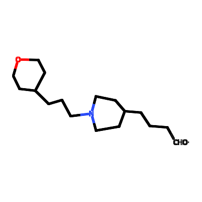 O=[C]CCCC1CCN(CCCC2CCOCC2)CC1